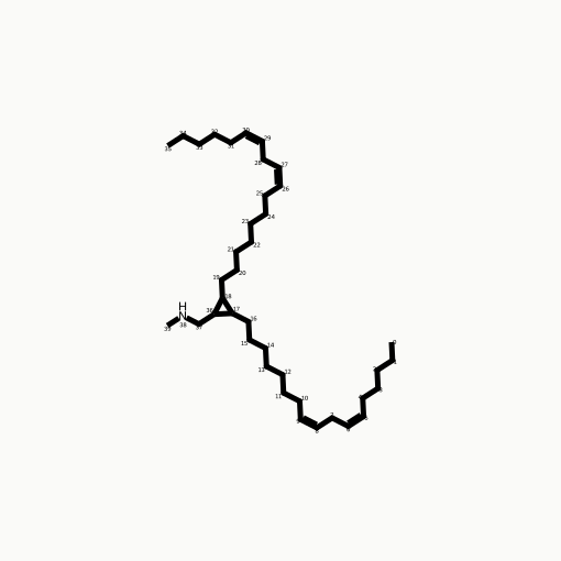 CCCCC/C=C\C/C=C\CCCCCCCC1C(CCCCCCC/C=C\C/C=C\CCCCC)C1CNC